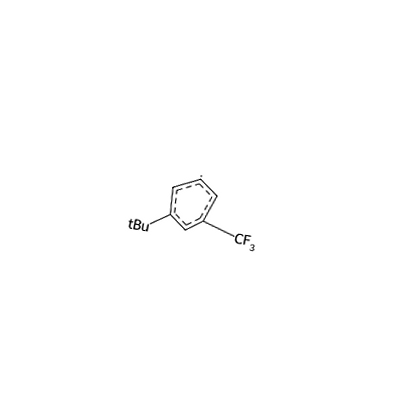 CC(C)(C)c1c[c]cc(C(F)(F)F)c1